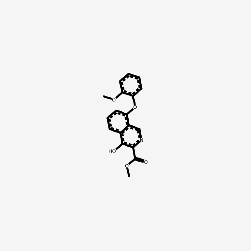 COC(=O)c1ncc2c(Oc3ccccc3OC)cccc2c1O